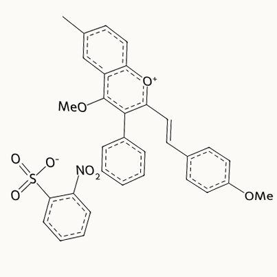 COc1ccc(C=Cc2[o+]c3ccc(C)cc3c(OC)c2-c2ccccc2)cc1.O=[N+]([O-])c1ccccc1S(=O)(=O)[O-]